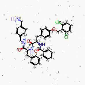 NCc1ccc(CNC(=O)[C@H](Cc2ccccc2)NC(=O)[C@@H](Cc2ccc(OCc3c(Cl)cccc3Cl)cc2)NC(=O)c2ccccc2)cc1